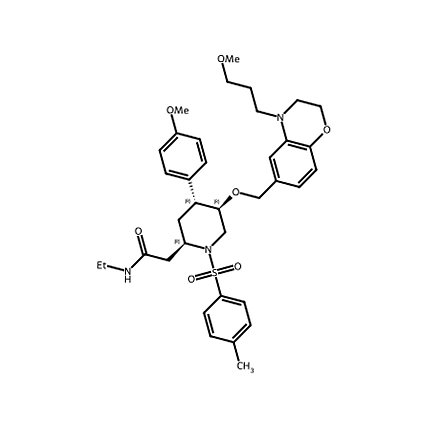 CCNC(=O)C[C@H]1C[C@H](c2ccc(OC)cc2)[C@@H](OCc2ccc3c(c2)N(CCCOC)CCO3)CN1S(=O)(=O)c1ccc(C)cc1